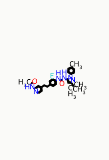 CC(=O)Nc1cc(CCc2ccc(NC(=O)Nc3cc(C(C)(C)C)nn3-c3ccc(C)cc3)c(F)c2)ccn1